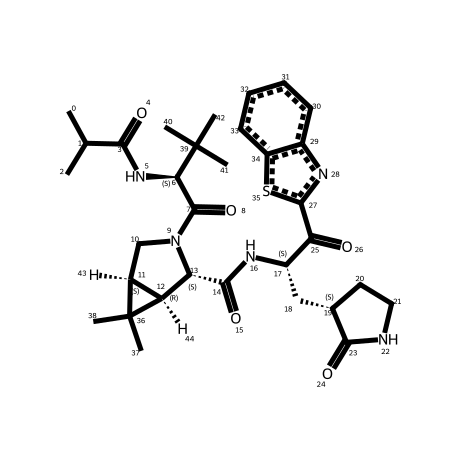 CC(C)C(=O)N[C@H](C(=O)N1C[C@H]2[C@@H]([C@H]1C(=O)N[C@@H](C[C@@H]1CCNC1=O)C(=O)c1nc3ccccc3s1)C2(C)C)C(C)(C)C